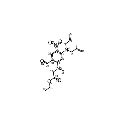 C=CCN(CC=C)c1cc(N(C)CC(=O)OCC)c(C=O)cc1[N+](=O)[O-]